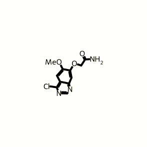 COc1cc2c(Cl)ncnc2cc1OCC(N)=O